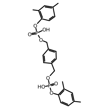 Cc1ccc(OP(=O)(O)OCc2ccc(COP(=O)(O)Oc3ccc(C)cc3C)cc2)c(C)c1